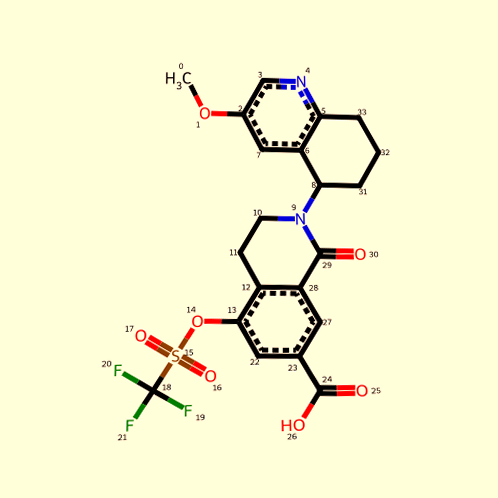 COc1cnc2c(c1)C(N1CCc3c(OS(=O)(=O)C(F)(F)F)cc(C(=O)O)cc3C1=O)CCC2